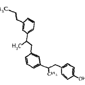 CCCc1cccc(C(C)Cc2cccc(C(C)Cc3ccc(O)cc3)c2)c1